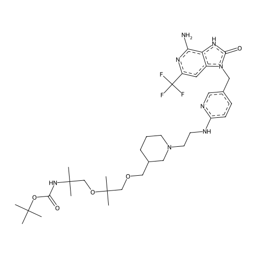 CC(C)(COC(C)(C)COCC1CCCN(CCNc2ccc(Cn3c(=O)[nH]c4c(N)nc(C(F)(F)F)cc43)cn2)C1)NC(=O)OC(C)(C)C